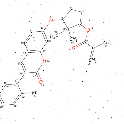 C=C(C)C(=O)OC1CCC(Oc2ccc3cc(-c4ccccc4CC)c(=O)oc3c2)C1(C)C